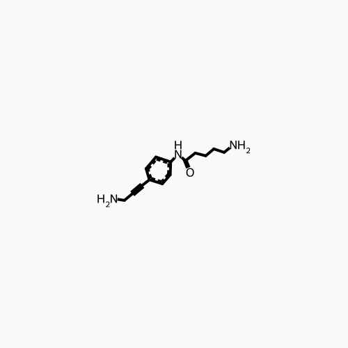 NCC#Cc1ccc(NC(=O)CCCCN)cc1